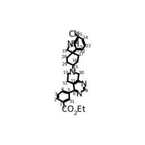 CCOC(=O)c1cccc(-c2ncnc3c2CCN(C2CCC(CN)(c4cccc(Cl)c4)CC2)C3)c1